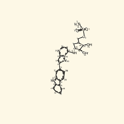 NS(=O)(=O)OCC1C[C@@H](Nc2ccnc3cc(-c4ccc5c(c4)[nH]c4ccccc45)nn23)[C@H](O)[C@@H]1O